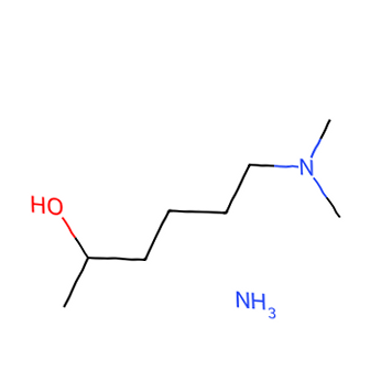 CC(O)CCCCN(C)C.N